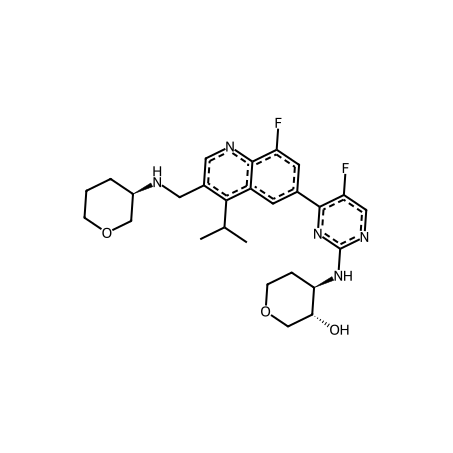 CC(C)c1c(CN[C@@H]2CCCOC2)cnc2c(F)cc(-c3nc(N[C@@H]4CCOC[C@H]4O)ncc3F)cc12